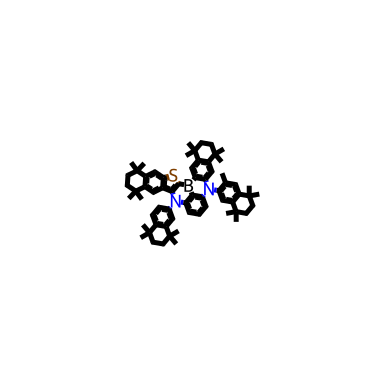 Cc1cc2c(cc1N1c3cc4c(cc3B3c5sc6cc7c(cc6c5N(c5ccc6c(c5)C(C)(C)CCC6(C)C)c5cccc1c53)C(C)(C)CCC7(C)C)C(C)(C)CCC4(C)C)C(C)(C)CCC2(C)C